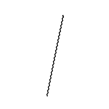 C=CCCCCCCCCCCCCCCCCCCCCCCCCCCCCCCCCCCCCCCCCCCCC